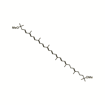 COC(C)(C)C/C=C/C(C)=C/C=C/C(C)=C/C=C/C(C)=C/C=C/C=C(C)/C=C/C=C(\C)CC/C=C(\C)CCCC(C)(C)OC